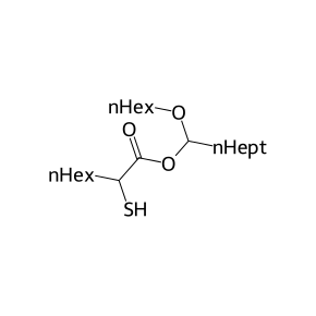 CCCCCCCC(OCCCCCC)OC(=O)C(S)CCCCCC